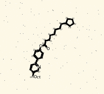 CCCCCCCCc1ccc(-c2ccc(OC(=O)CCCCCCCC3CCCC3)cc2)nc1